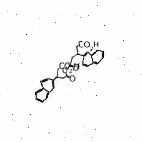 O=C(O)CC(CC(=O)OC(=O)CC(CC(=O)O)c1ccc2ccccc2c1)c1ccc2ccccc2c1